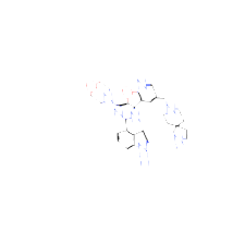 CN1CCC2(CCN(Cc3cnc4oc5c(N6CCOCC6)nc(-c6cccc7[nH]ccc67)nc5c4c3)CC2)C1